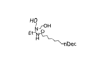 CCCCCCCCCCCCCCCCCC(=O)NC(CC)N(CCO)CCO